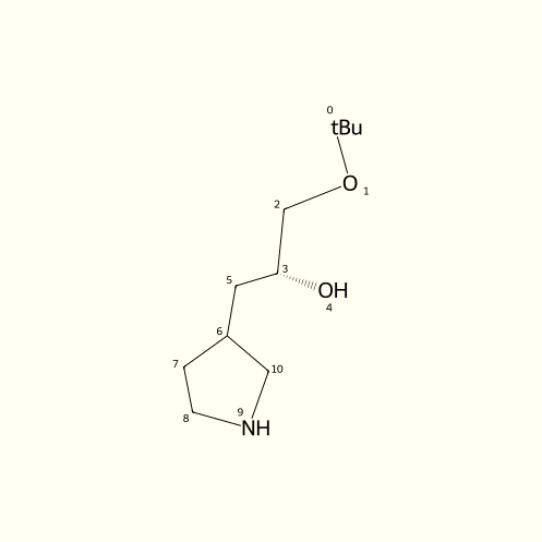 CC(C)(C)OC[C@H](O)CC1CCNC1